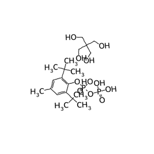 Cc1cc(C(C)(C)C)c(OP(=O)(O)OP(=O)(O)O)c(C(C)(C)C)c1.OCC(CO)(CO)CO